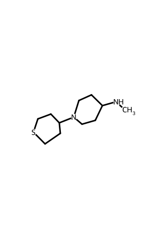 CNC1CCN(C2CCSCC2)CC1